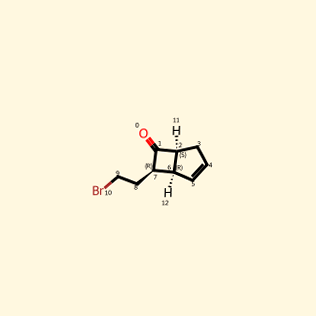 O=C1[C@H]2CC=C[C@H]2[C@H]1CCBr